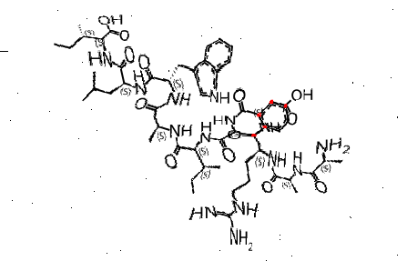 CC[C@H](C)[C@H](NC(=O)[C@H](CC(C)C)NC(=O)[C@H](Cc1c[nH]c2ccccc12)NC(=O)[C@H](C)NC(=O)[C@@H](NC(=O)[C@H](Cc1ccccc1)NC(=O)[C@H](CC(=O)O)NC(=O)[C@H](CCCNC(=N)N)NC(=O)[C@H](C)NC(=O)[C@H](C)N)[C@@H](C)CC)C(=O)O